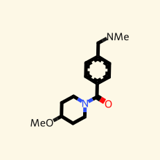 CNCc1ccc(C(=O)N2CCC(OC)CC2)cc1